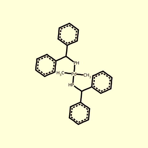 [CH3][Pd]([CH3])([PH]C(c1ccccc1)c1ccccc1)[PH]C(c1ccccc1)c1ccccc1